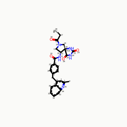 Cc1cc(Cc2ccc(C(=O)N[C@H]3CN(C(=O)CC(C)C)C[C@]34NC(=O)NC4=O)cc2)c2ccccc2n1